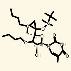 CCCCOC[C@]1(C2(O[Si](C)(C)C(C)(C)C)CC2)O[C@@H](n2cc(C)c(=O)[nH]c2=O)[C@@H](O)C1OCCCC